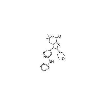 CC1(C)CC(=O)c2sc(N3CCOCC3)c(-c3ccnc(Nc4ccccc4)c3)c2C1